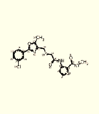 COC(=O)c1sccc1NC(=O)CSCc1nc(-c2cccc(Cl)c2)oc1C